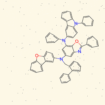 c1ccc(-c2nc3cc(N(Cc4ccccc4-c4ccccc4)c4ccc5oc6ccccc6c5c4)cc(N(c4ccccc4)c4ccc5c(c4)c4ccccc4n5-c4ccccc4)c3o2)cc1